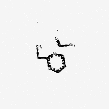 CCc1ncccn1.O=CO